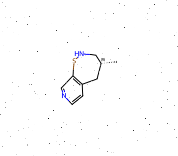 C[C@H]1CNSc2cnccc2C1